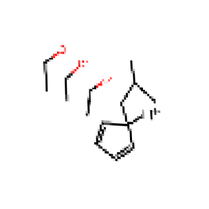 CC(C)C[C]1([Hf+3])C=CC=C1.CC[O-].CC[O-].CC[O-]